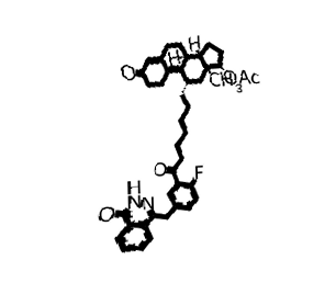 CC(=O)O[C@H]1CC[C@H]2[C@@H]3CCC4=CC(=O)CCC4=C3[C@@H](CCCCCCC(=O)c3cc(Cc4n[nH]c(=O)c5ccccc45)ccc3F)C[C@]12C